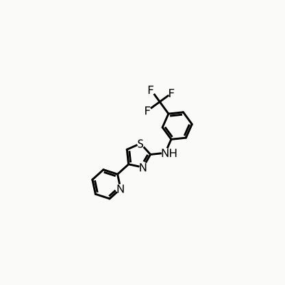 FC(F)(F)c1cccc(Nc2nc(-c3ccccn3)cs2)c1